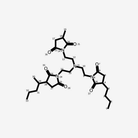 CCCCC1CC(=O)N(CCN(CCN2C(=O)CC(C)C2=O)CCN2C(=O)CC(C(C)CCC)C2=O)C1=O